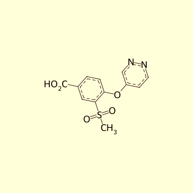 CS(=O)(=O)c1cc(C(=O)O)ccc1Oc1ccnnc1